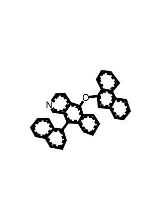 c1ccc2c(-c3c4ccccc4c(Oc4cc5ccccc5c5ccccc45)c4ccncc34)cccc2c1